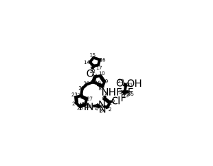 Clc1cnc2nc1Nc1ccc(OC3CCCC3)c(c1)CCc1cccc(c1)N2.O=C(O)C(F)(F)F